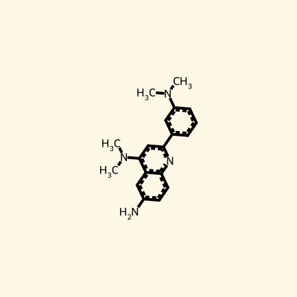 CN(C)c1cccc(-c2cc(N(C)C)c3cc(N)ccc3n2)c1